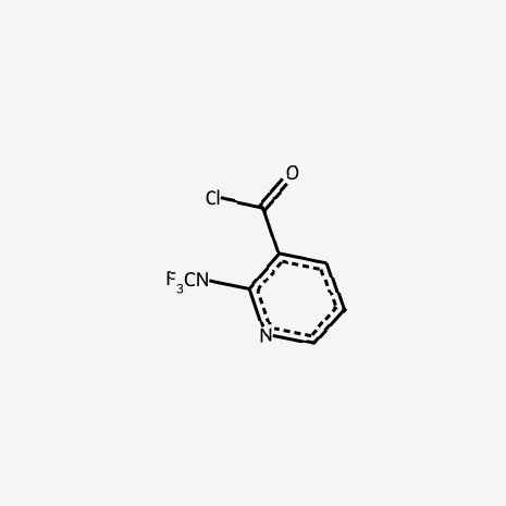 O=C(Cl)c1cccnc1NC(F)(F)F